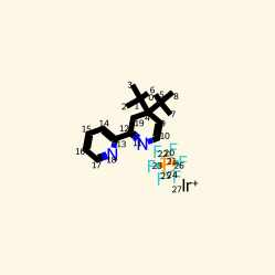 CC(C)(C)C1(C(C)(C)C)C=CN=C(c2ccccn2)C1.F[P-](F)(F)(F)(F)F.[Ir+]